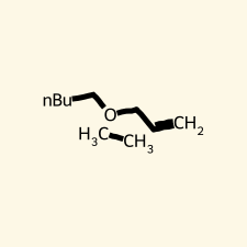 C=CCOCCCCC.CC